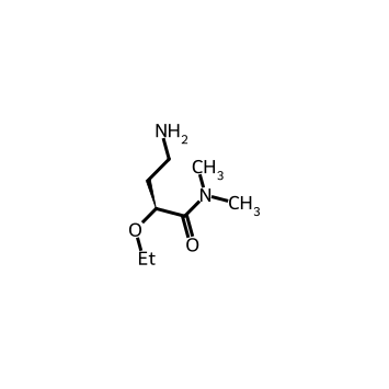 CCO[C@@H](CCN)C(=O)N(C)C